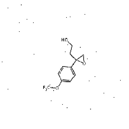 OCCC1(c2ccc(OC(F)(F)F)cc2)CO1